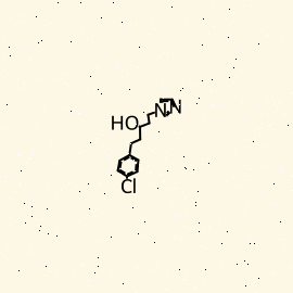 OC(CCc1ccc(Cl)cc1)CCn1ccnc1